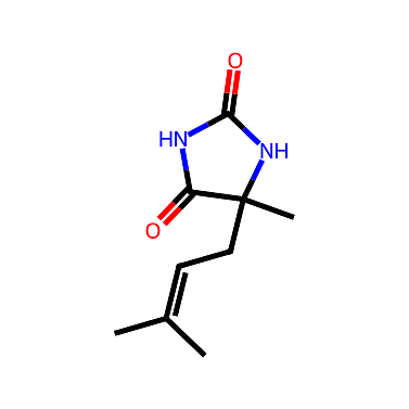 CC(C)=CCC1(C)NC(=O)NC1=O